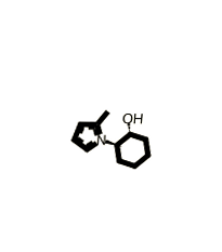 Cc1cccn1[C@@H]1CCCC[C@H]1O